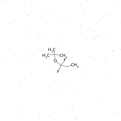 CCC(F)(F)OC(C)(C)C